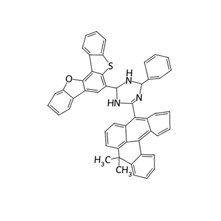 CC1(C)c2ccccc2-c2c3ccccc3c(C3=NC(c4ccccc4)NC(c4cc5c6ccccc6oc5c5c4sc4ccccc45)N3)c3cccc1c23